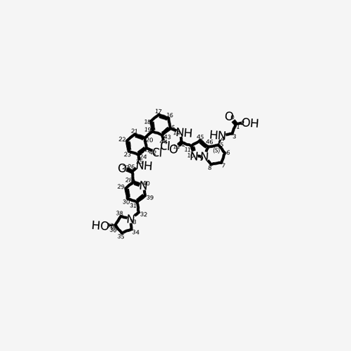 O=C(O)CN[C@H]1CCCn2nc(C(=O)Nc3cccc(-c4cccc(NC(=O)c5ccc(CN6CC[C@@H](O)C6)cn5)c4Cl)c3Cl)cc21